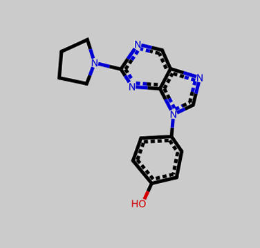 Oc1ccc(-n2cnc3cnc(N4CCCC4)nc32)cc1